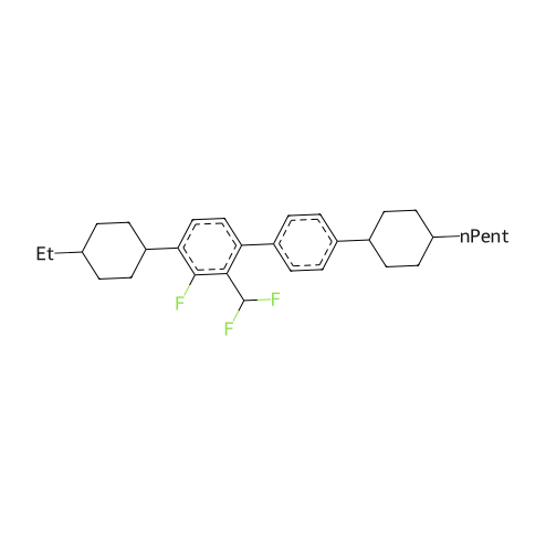 CCCCCC1CCC(c2ccc(-c3ccc(C4CCC(CC)CC4)c(F)c3C(F)F)cc2)CC1